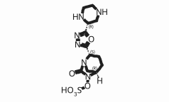 O=C1N2C[C@@H](CC[C@H]2c2nnc([C@H]3CNCCN3)o2)N1OS(=O)(=O)O